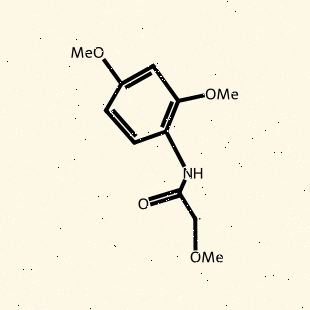 CO[CH]C(=O)Nc1ccc(OC)cc1OC